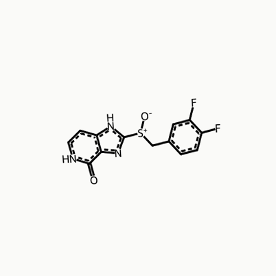 O=c1[nH]ccc2[nH]c([S+]([O-])Cc3ccc(F)c(F)c3)nc12